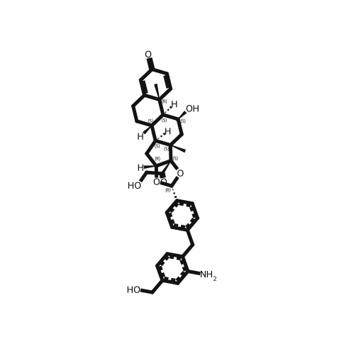 C[C@]12C=CC(=O)C=C1CC[C@@H]1[C@@H]2[C@@H](O)C[C@@]2(C)[C@H]1C[C@H]1O[C@@H](c3ccc(Cc4ccc(CO)cc4N)cc3)O[C@]12C(=O)CO